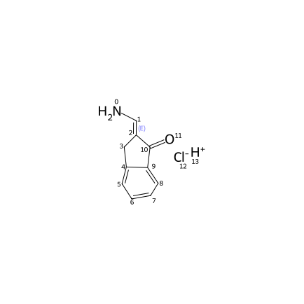 N/C=C1\Cc2ccccc2C1=O.[Cl-].[H+]